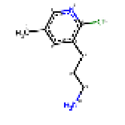 Cc1cnc(Cl)c(CCCN)c1